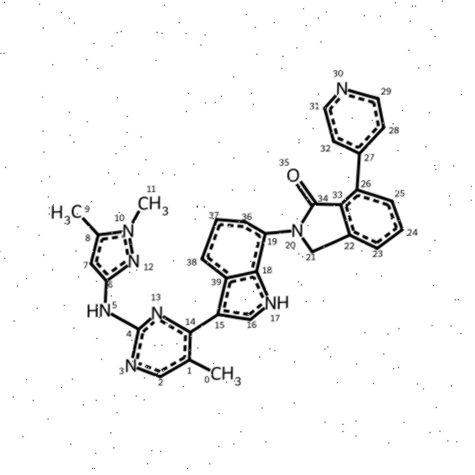 Cc1cnc(Nc2cc(C)n(C)n2)nc1-c1c[nH]c2c(N3Cc4cccc(-c5ccncc5)c4C3=O)cccc12